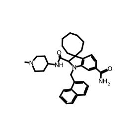 CN1CCC(NC(=O)C2N(Cc3cccc4ccccc34)c3cc(C(N)=O)ccc3C23CCCCCCC3)CC1